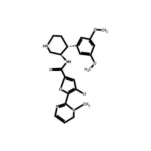 COc1cc(OC)cc([C@H]2CCNC[C@@H]2NC(=O)c2cc(Cl)c(C3=NC=CCN3C)o2)c1